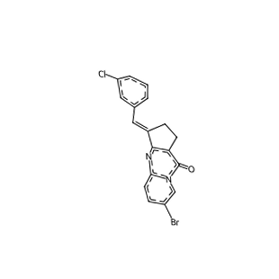 O=c1c2c(nc3ccc(Br)cn13)C(=Cc1cccc(Cl)c1)CC2